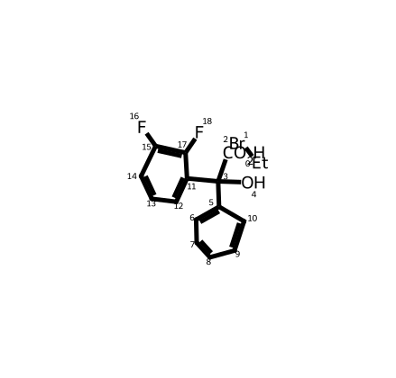 CCBr.O=C(O)C(O)(c1ccccc1)c1cccc(F)c1F